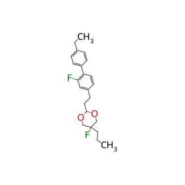 CCCC1(F)COC(CCc2ccc(-c3ccc(CC)cc3)c(F)c2)OC1